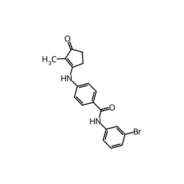 CC1=C(Nc2ccc(C(=O)Nc3cccc(Br)c3)cc2)CCC1=O